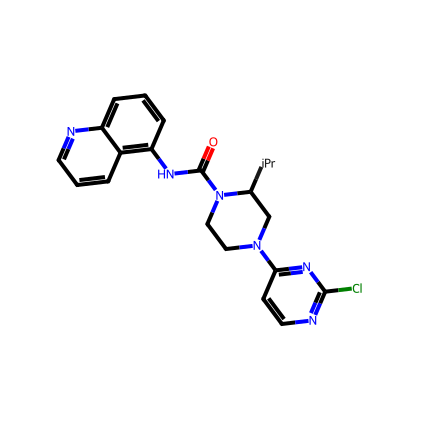 CC(C)C1CN(c2ccnc(Cl)n2)CCN1C(=O)Nc1cccc2ncccc12